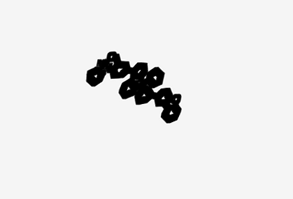 c1ccc([Si](c2ccccc2)(c2cccc(-c3ccc4c(c3)COc3nc5ccccc5n3-4)c2)c2cccc(-c3ccc4oc5ccccc5c4c3)c2)cc1